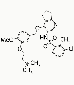 COc1ccc(COc2c(NS(=O)(=O)c3cccc(Cl)c3C)cnc3c2CCC3)cc1OCCN(C)C